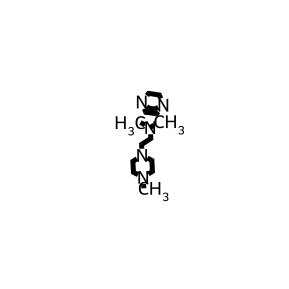 C1CN2CCN1CC2.CN(C)CCN1CCN(C)CC1